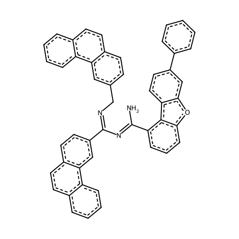 N/C(=N\C(=N/Cc1ccc2ccc3ccccc3c2c1)c1ccc2ccc3ccccc3c2c1)c1cccc2oc3cc(-c4ccccc4)ccc3c12